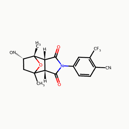 CC12C[C@H](N=O)[C@@](C)(O1)[C@@H]1C(=O)N(c3ccc(C#N)c(C(F)(F)F)c3)C(=O)[C@@H]12